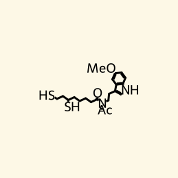 COc1ccc2[nH]cc(CCN(C(C)=O)C(=O)CCCCC(S)CCS)c2c1